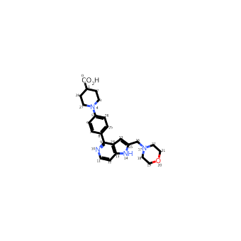 O=C(O)C1CCN(c2ccc(-c3nccc4[nH]c(CN5CCOCC5)cc34)cc2)CC1